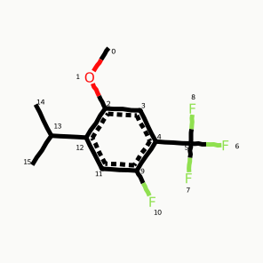 COc1cc(C(F)(F)F)c(F)cc1C(C)C